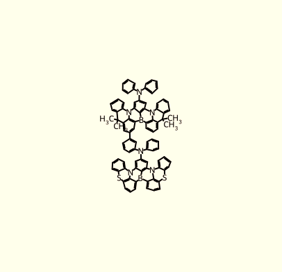 CC1(C)c2ccccc2N2c3cc(N(c4ccccc4)c4ccccc4)cc4c3B(c3cccc1c32)c1cc(-c2cccc(N(c3ccccc3)c3cc5c6c(c3)N3c7ccccc7Sc7cccc(c73)B6c3cccc6c3N5c3ccccc3S6)c2)cc2c1N4c1ccccc1C2(C)C